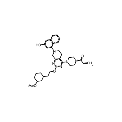 C=CC(=O)N1CCN(c2nc(OCCC3CCC[C@H](OC)C3)nc3c2CCN(c2cc(O)cc4ccccc24)C3)CC1